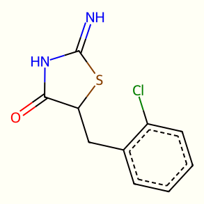 N=C1NC(=O)C(Cc2ccccc2Cl)S1